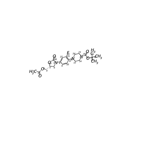 CC(=O)OC[C@H]1CN(c2ccc(N3CCN(C(=O)OC(C)(C)C)CC3)c(F)c2)C(=O)O1